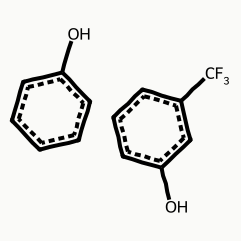 Oc1cccc(C(F)(F)F)c1.Oc1ccccc1